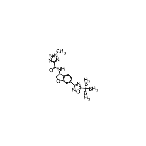 BC(B)(B)c1nc(-c2ccc3c(c2)OC[C@H]3NC(=O)c2nnn(C)n2)no1